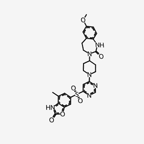 COc1ccc2c(c1)CCN(C1CCN(c3cc(S(=O)(=O)c4cc(C)c5[nH]c(=O)oc5c4)ncn3)CC1)C(=O)N2